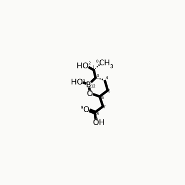 C[C@@H](O)[C@@H]1CCC(CC(=O)O)OB1O